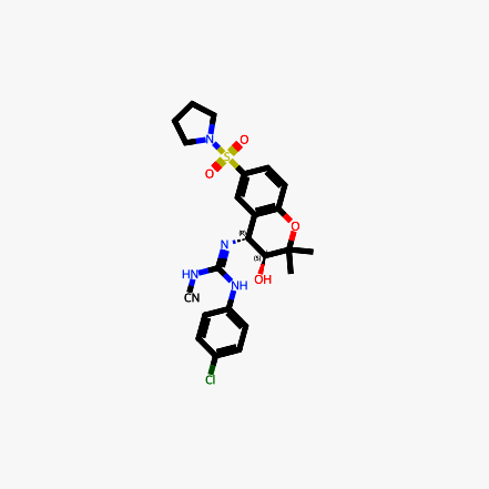 CC1(C)Oc2ccc(S(=O)(=O)N3CCCC3)cc2[C@@H](N=C(NC#N)Nc2ccc(Cl)cc2)[C@@H]1O